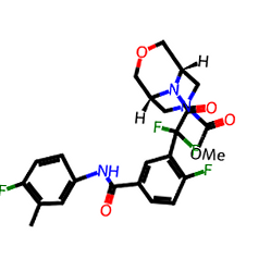 COC(=O)N1C[C@H]2COC[C@@H](C1)N2C(=O)C(F)(F)c1cc(C(=O)Nc2ccc(F)c(C)c2)ccc1F